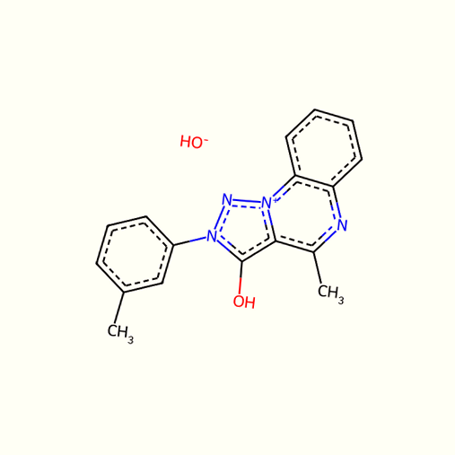 Cc1cccc(-n2n[n+]3c(c(C)nc4ccccc43)c2O)c1.[OH-]